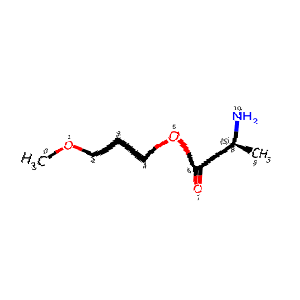 COCCCOC(=O)[C@H](C)N